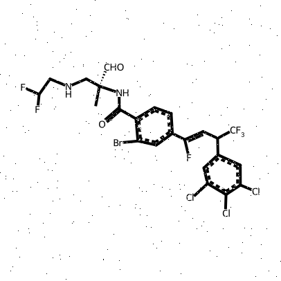 C[C@@](C=O)(CNCC(F)F)NC(=O)c1ccc(/C(F)=C/C(c2cc(Cl)c(Cl)c(Cl)c2)C(F)(F)F)cc1Br